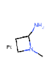 CN1CCC1N.[Pt]